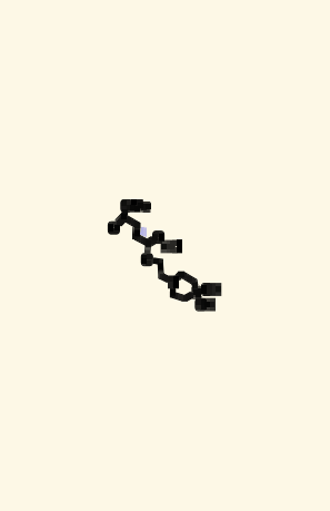 COC(=O)/C=C/C(=O)OCCN1CCS(O)(O)CC1.Cl